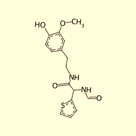 COc1cc(CCNC(=O)C(NC=O)c2cccs2)ccc1O